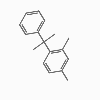 Cc1ccc(C(C)(C)c2ccccc2)c(C)c1